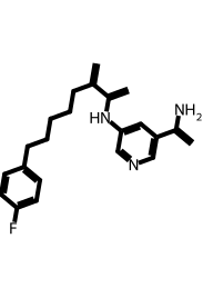 C=C(CCCCCc1ccc(F)cc1)C(=C)Nc1cncc(C(=C)N)c1